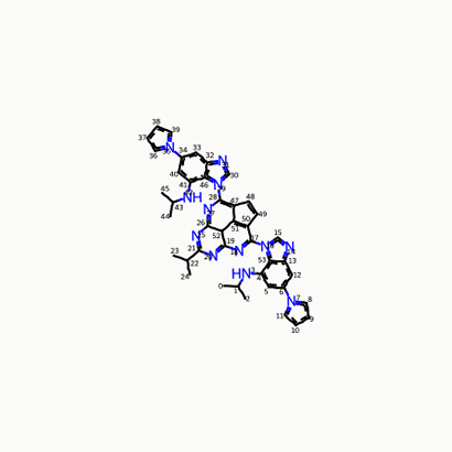 CC(C)Nc1cc(-n2cccc2)cc2ncn(C3=NC4=NC(C(C)C)=NC5=NC(n6cnc7cc(-n8cccc8)cc(NC(C)C)c76)=C6C=CC3=C6C45)c12